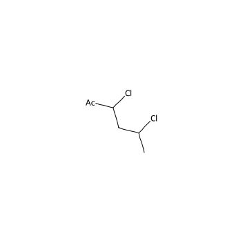 CC(=O)C(Cl)CC(C)Cl